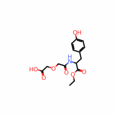 CCOC(=O)C(Cc1ccc(O)cc1)NC(=O)COCC(=O)O